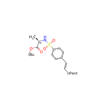 CCCCCC=Cc1ccc(S(=O)(=O)N[C@H](C)C(=O)OC(C)(C)C)cc1